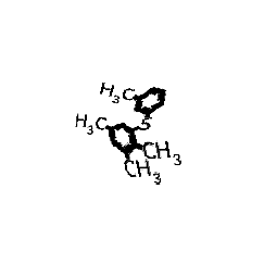 Cc1cccc(Sc2cc(C)cc(C)c2C)c1